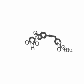 CC(C)(C)OC(=O)N1CCC(CC#Cc2ccc3c(c2)CN(C2CCC(=O)NC2=O)C3=O)CC1